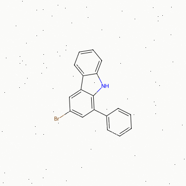 Brc1cc(-c2ccccc2)c2[nH]c3ccccc3c2c1